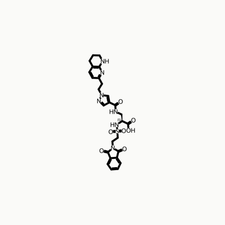 O=C(NC[C@H](NS(=O)(=O)CCN1C(=O)c2ccccc2C1=O)C(=O)O)c1cnn(CCc2ccc3c(n2)NCCC3)c1